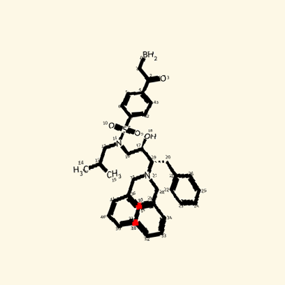 BCC(=O)c1ccc(S(=O)(=O)N(CC(C)C)C[C@@H](O)[C@H](Cc2ccccc2)N(Cc2ccccc2)Cc2ccccc2)cc1